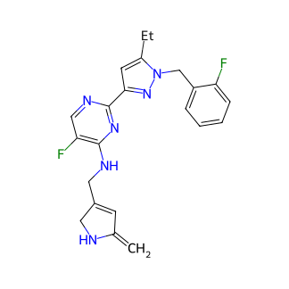 C=C1C=C(CNc2nc(-c3cc(CC)n(Cc4ccccc4F)n3)ncc2F)CN1